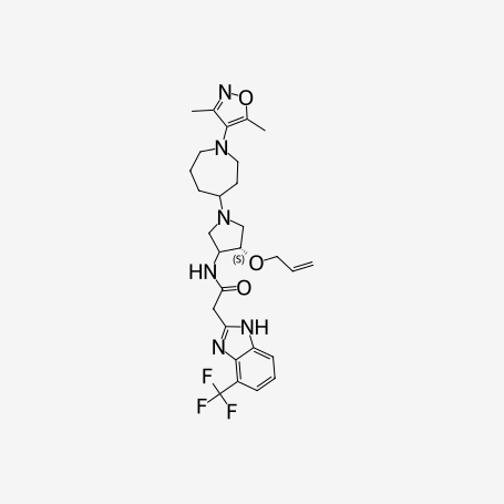 C=CCO[C@H]1CN(C2CCCN(c3c(C)noc3C)CC2)CC1NC(=O)Cc1nc2c(C(F)(F)F)cccc2[nH]1